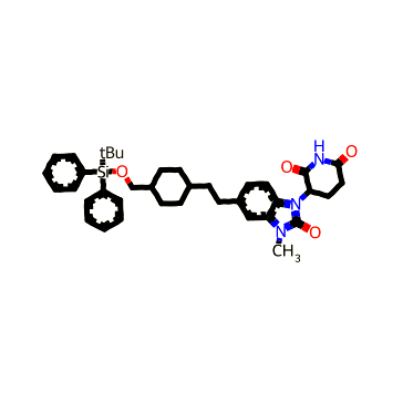 Cn1c(=O)n(C2CCC(=O)NC2=O)c2ccc(CCC3CCC(CO[Si](c4ccccc4)(c4ccccc4)C(C)(C)C)CC3)cc21